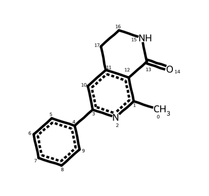 Cc1nc(-c2ccccc2)cc2c1C(=O)NCC2